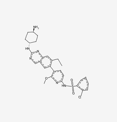 CCc1cc2nc(N[C@H]3CC[C@H](N)CC3)ncc2cc1-c1ccc(NS(=O)(=O)c2ccccc2Cl)nc1OC